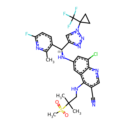 Cc1nc(F)ccc1[C@H](Nc1cc(Cl)c2ncc(C#N)c(NCC(C)(C)S(C)(=O)=O)c2c1)c1cn(C2(C(F)(F)F)CC2)nn1